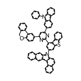 c1ccc(-n2c3ccccc3c3ccc(-c4cc(-c5ccc6c(c5)-c5ccccc5CO6)nc(-c5cc(-n6c7cc8ccccc8cc7c7c8ccccc8ccc76)cc6sc7ccccc7c56)n4)cc32)cc1